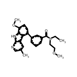 CCN(CCOC)C(=O)c1cccc(-c2ccc(OC)c3[nH]c4ncc(C)cc4c23)c1